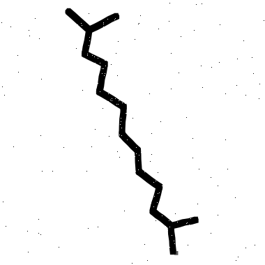 [CH2]C(C)CCCCCCCCCC(C)C